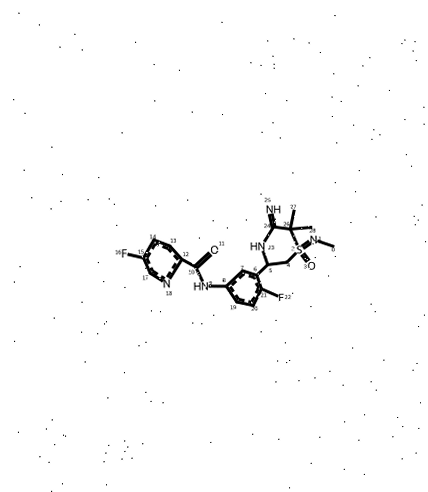 CN=S1(=O)CC(c2cc(NC(=O)c3ccc(F)cn3)ccc2F)NC(=N)C1(C)C